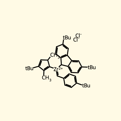 CC1=[C](/[Zr+2](=[CH]/c2ccc(C(C)(C)C)cc2)[CH]2c3ccc(C(C)(C)C)cc3-c3cc(C(C)(C)C)ccc32)C(C)C=C1C(C)(C)C.[Cl-].[Cl-]